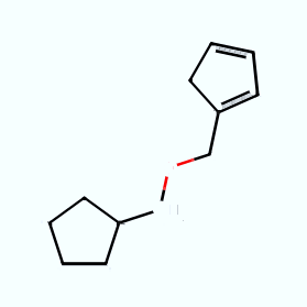 C1=CCC(CO[SiH2]C2CCCC2)=C1